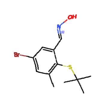 Cc1cc(Br)cc(/C=N/O)c1SC(C)(C)C